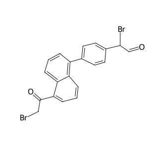 O=CC(Br)c1ccc(-c2cccc3c(C(=O)CBr)cccc23)cc1